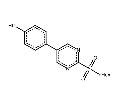 CCCCCCS(=O)(=O)c1ncc(-c2ccc(O)cc2)cn1